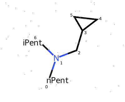 CCCCCN(CC1CC1)C(C)CCC